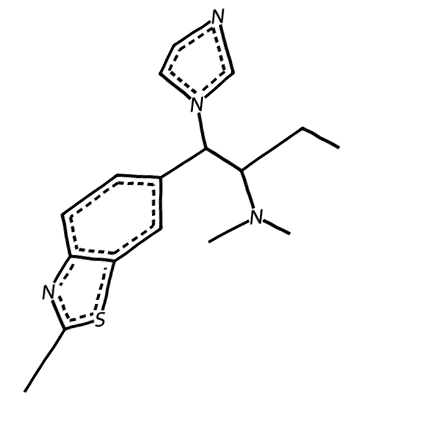 CCC(C(c1ccc2nc(C)sc2c1)n1ccnc1)N(C)C